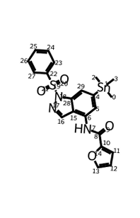 [CH3][Sn]([CH3])([CH3])[c]1cc(NC(=O)c2ccco2)c2cnn(S(=O)(=O)c3ccccc3)c2c1